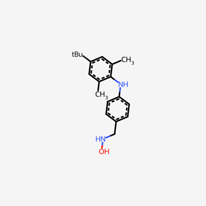 Cc1cc(C(C)(C)C)cc(C)c1Nc1ccc(CNO)cc1